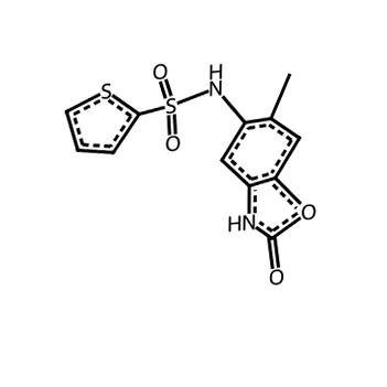 Cc1cc2oc(=O)[nH]c2cc1NS(=O)(=O)c1cccs1